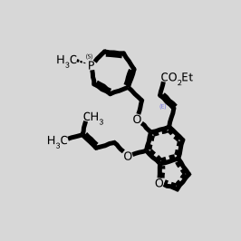 CCOC(=O)/C=C/c1cc2ccoc2c(OCC=C(C)C)c1OCC1=CC=C[P@@](C)C=C1